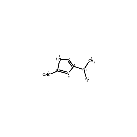 CC(=O)N(C)c1c[nH]c([C]=O)n1